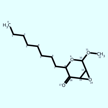 CCCCCCCCC1OC(OC)C2OC2C1=O